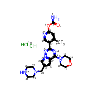 Cl.Cl.NC(=O)Oc1cc(C(F)(F)F)c(-c2nc(N3CCOCC3)c3cc(CN4CCNCC4)cn3n2)cn1